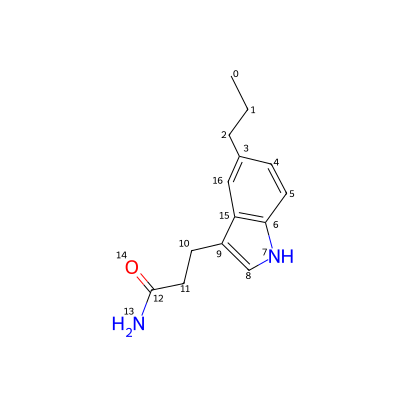 CCCc1ccc2[nH]cc(CCC(N)=O)c2c1